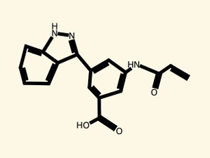 C=CC(=O)Nc1cc(C(=O)O)cc(-c2n[nH]c3ccccc23)c1